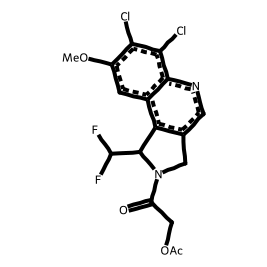 COc1cc2c3c(cnc2c(Cl)c1Cl)CN(C(=O)COC(C)=O)C3C(F)F